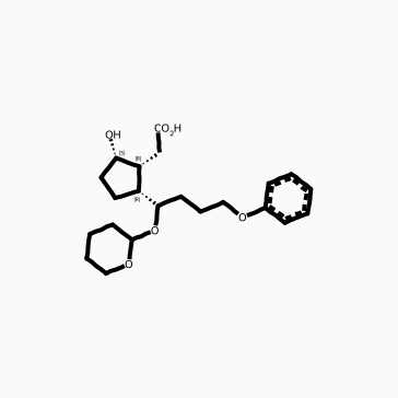 O=C(O)C[C@H]1[C@@H](O)CC[C@H]1C(CCCOc1ccccc1)OC1CCCCO1